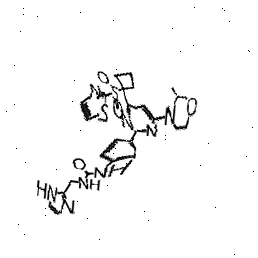 C[C@H]1COCCN1c1cc(C2(S(=O)(=O)c3nccs3)CCC2)nc(-c2ccc(NC(=O)NCc3ncc[nH]3)cc2)n1